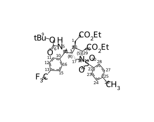 CCOC(=O)C[C@@H]1[C@@H]([C@@H](NC(=O)OC(C)(C)C)c2ccc(C(F)(F)F)cc2)CN(S(=O)(=O)c2ccc(C)cc2)[C@@H]1C(=O)OCC